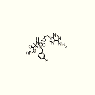 CCCOC(=O)C(C)(C)N[P@](=O)(CO[C@H](C)Cn1cnc2c(N)ncnc21)NCc1cccc(F)c1